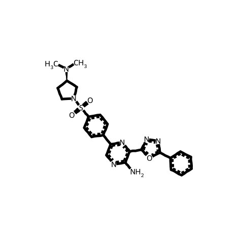 CN(C)[C@@H]1CCN(S(=O)(=O)c2ccc(-c3cnc(N)c(-c4nnc(-c5ccccc5)o4)n3)cc2)C1